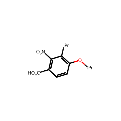 CC(C)Oc1ccc(C(=O)O)c([N+](=O)[O-])c1C(C)C